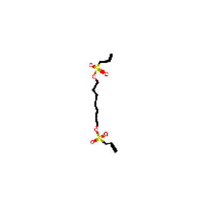 C=CCS(=O)(=O)OCCCCCCCOS(=O)(=O)CC=C